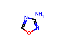 N.c1ncon1